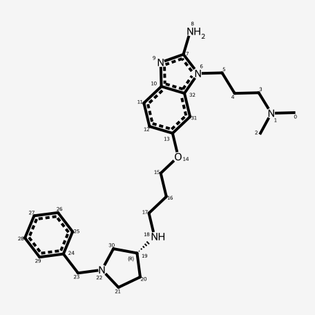 CN(C)CCCn1c(N)nc2ccc(OCCCN[C@@H]3CCN(Cc4ccccc4)C3)cc21